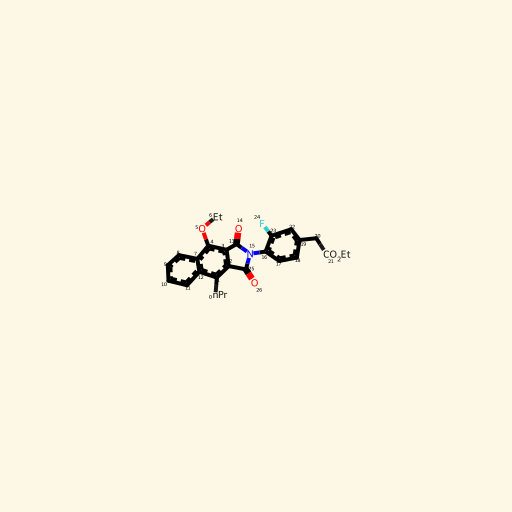 CCCc1c2c(c(OCC)c3ccccc13)C(=O)N(c1ccc(CC(=O)OCC)cc1F)C2=O